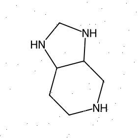 C1CC2NCNC2CN1